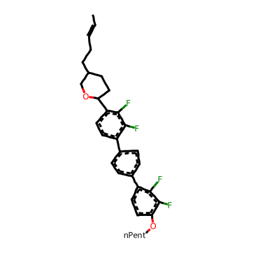 C/C=C/CCC1CCC(c2ccc(-c3ccc(-c4ccc(OCCCCC)c(F)c4F)cc3)c(F)c2F)OC1